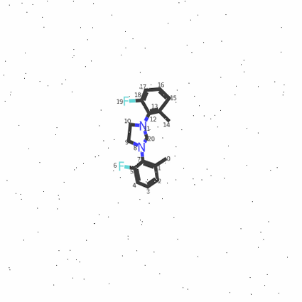 Cc1cccc(F)c1N1CCN(c2c(C)cccc2F)C1